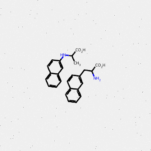 CC(Nc1ccc2ccccc2c1)C(=O)O.NC(Cc1ccc2ccccc2c1)C(=O)O